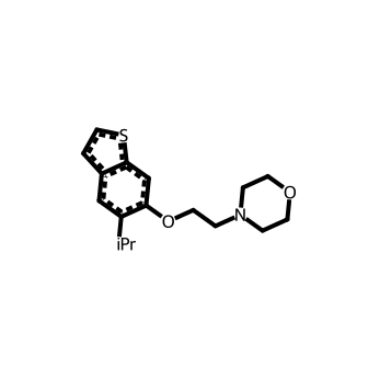 CC(C)c1cc2ccsc2cc1OCCN1CCOCC1